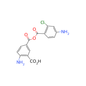 Nc1ccc(C(=O)OC(=O)c2ccc(N)c(C(=O)O)c2)c(Cl)c1